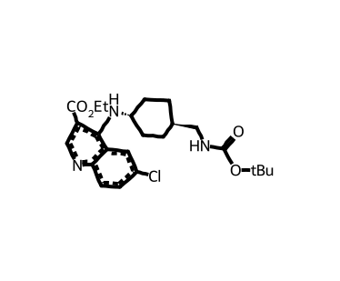 CCOC(=O)c1cnc2ccc(Cl)cc2c1N[C@H]1CC[C@H](CNC(=O)OC(C)(C)C)CC1